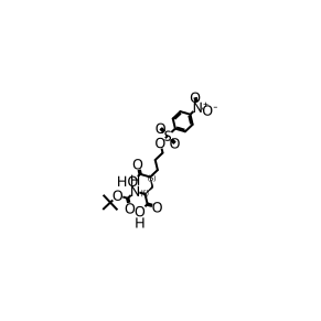 CC(C)(C)OC(=O)N[C@@H](C[C@H](CCCOS(=O)(=O)c1ccc([N+](=O)[O-])cc1)C(=O)O)C(=O)O